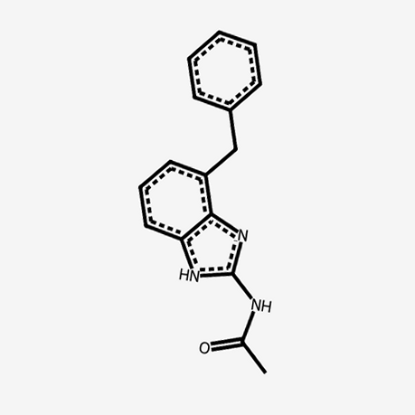 CC(=O)Nc1nc2c(Cc3ccccc3)cccc2[nH]1